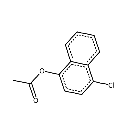 CC(=O)Oc1ccc(Cl)c2ccccc12